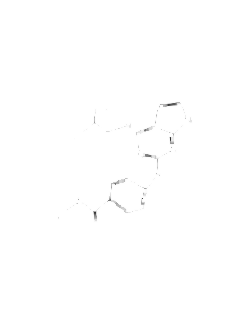 CNC(=O)c1ccc(Nc2nc(NCC(C)C)c3cc[nH]c3n2)cc1